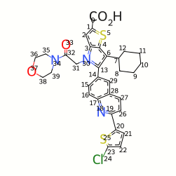 O=C(O)c1cc2c(s1)c(C1CCCCC1)c(-c1ccc3nc(-c4ccc(Cl)s4)ccc3c1)n2CC(=O)N1CCOCC1